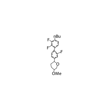 CCCCc1ccc(-c2ccc(C3CCC(OC)CO3)cc2F)c(F)c1F